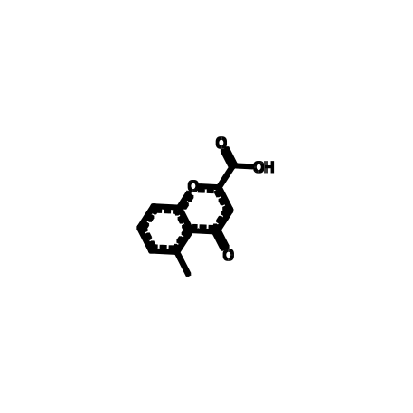 Cc1cccc2oc(C(=O)O)cc(=O)c12